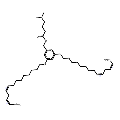 CCCCC/C=C\C/C=C\CCCCCCCCOc1cc(COC(=O)CCCN(C)C)cc(OCCCCCCCC/C=C\C/C=C\CCCCC)c1